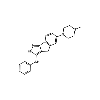 CN1CCN(c2ccc3c(c2)Cc2c-3n[nH]c2Nc2ccccc2)CC1